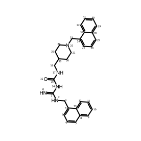 N=C(NCc1cccc2ccccc12)NC(=O)NCC1CCN(Cc2cccc3ccccc23)CC1